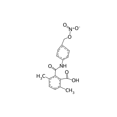 Cc1ccc(C)c(C(=O)Nc2ccc(CO[N+](=O)[O-])cc2)c1C(=O)O